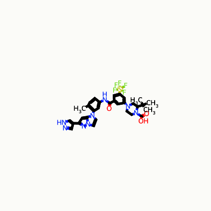 Cc1ccc(NC(=O)c2cc(N3CCN(C(=O)O)C(C(C)(C)C)C3)cc(S(F)(F)(F)(F)F)c2)cc1-n1ccn2nc(-c3cn[nH]c3)cc12